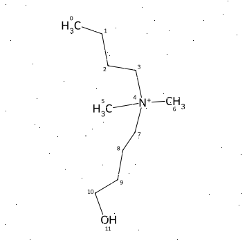 CCCC[N+](C)(C)CCCCO